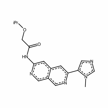 CC(C)OCC(=O)Nc1cc2cc(-c3cncn3C)ncc2cn1